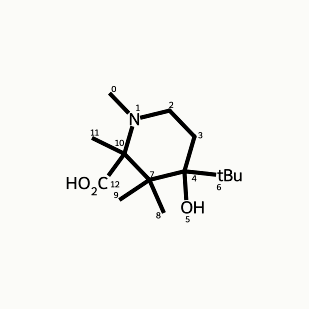 CN1CCC(O)(C(C)(C)C)C(C)(C)C1(C)C(=O)O